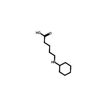 O=C(O)CCCCNC1CCCCC1